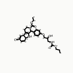 CCCOC(=O)NCC(O)COc1ccc(C2C3=C(CCN2C(=O)OCC)C2C=C(Cl)C=CC2N3)cc1